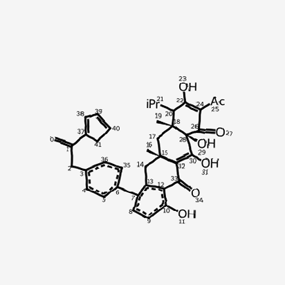 C=C(Cc1ccc(-c2ccc(O)c3c2C[C@]2(C)C[C@]4(C)C(C(C)C)C(O)=C(C(C)=O)C(=O)[C@]4(O)C(O)=C2C3=O)cc1)C1=CC=CC1